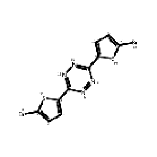 Brc1ccc(-c2nnc(-c3ccc(Br)s3)nn2)s1